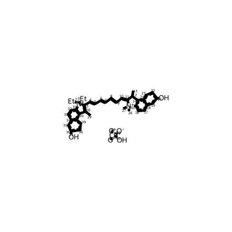 CC[N+]1(CC)C(C=CC=CC=CC=C2C(C)c3c(ccc4cc(O)ccc34)[N+]2(C)C)=C(C)c2c1ccc1cc(O)ccc21.[O-][Cl+3]([O-])([O-])O